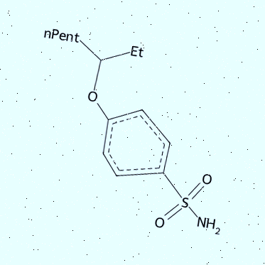 CCCCCC(CC)Oc1ccc(S(N)(=O)=O)cc1